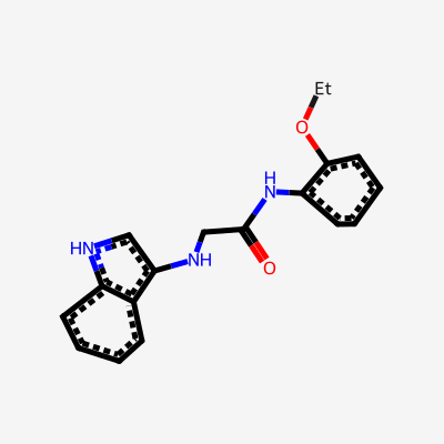 CCOc1ccccc1NC(=O)CNc1c[nH]c2ccccc12